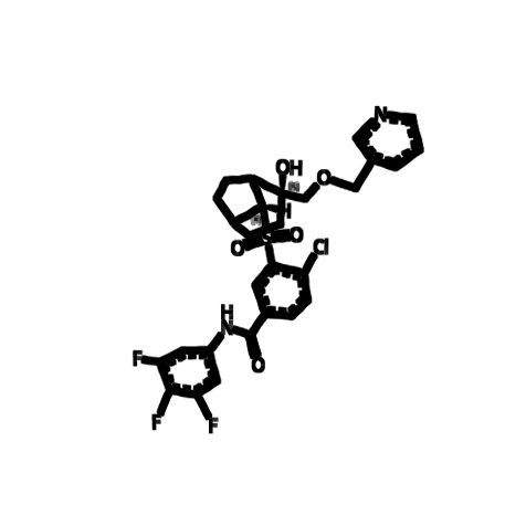 O=C(Nc1cc(F)c(F)c(F)c1)c1ccc(Cl)c(S(=O)(=O)[C@@H]2C3CCC2[C@](O)(COCc2cccnc2)CC3)c1